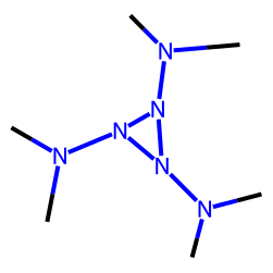 CN(C)n1n(N(C)C)n1N(C)C